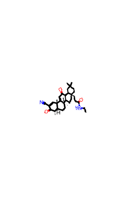 CCNC(=O)CC[C@]12CCC(C)(C)CC1C1C(=O)C=C3[C@@]4(C)C=C(C#N)C(=O)[C@@H](C)[C@@H]4CC[C@@]3(C)[C@]1(C)CC2